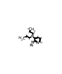 C=CCN(CC=C)c1cccnc1N=[N]